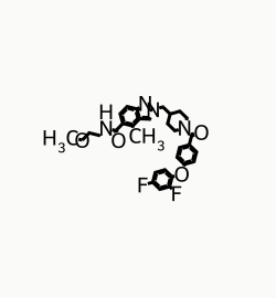 COCCNC(=O)c1ccc2nn(CC3CCN(C(=O)c4ccc(Oc5ccc(F)cc5F)cc4)CC3)cc2c1C